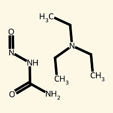 CCN(CC)CC.NC(=O)NN=O